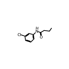 CCCC(=O)Nc1cccc(Cl)c1